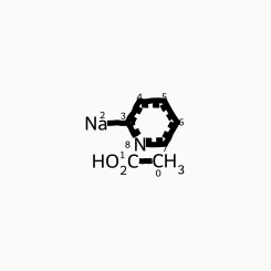 CC(=O)O.[Na][c]1ccccn1